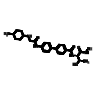 CC1CCC(NCC(=O)Nc2ccc(-c3ccc(C(=O)N[C@H](C(=O)NO)[C@@H](C)O)cc3)cc2)CC1